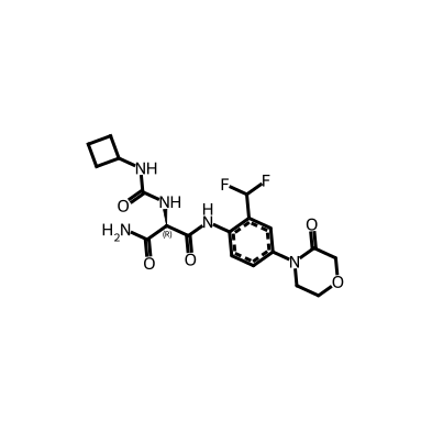 NC(=O)[C@@H](NC(=O)NC1CCC1)C(=O)Nc1ccc(N2CCOCC2=O)cc1C(F)F